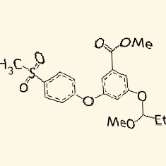 CCC(OC)Oc1cc(Oc2ccc(S(C)(=O)=O)cc2)cc(C(=O)OC)c1